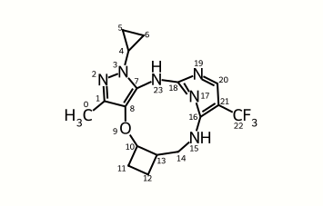 Cc1nn(C2CC2)c2c1OC1CCC1CNc1nc(ncc1C(F)(F)F)N2